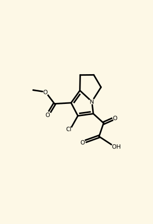 COC(=O)c1c(Cl)c(C(=O)C(=O)O)n2c1CCC2